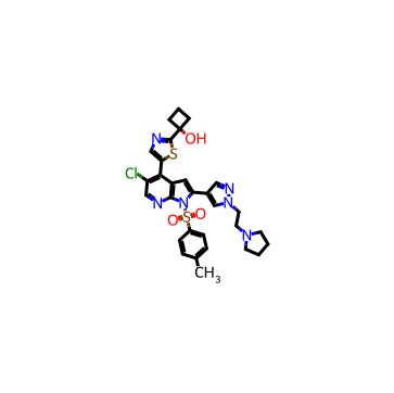 Cc1ccc(S(=O)(=O)n2c(-c3cnn(CCN4CCCC4)c3)cc3c(-c4cnc(C5(O)CCC5)s4)c(Cl)cnc32)cc1